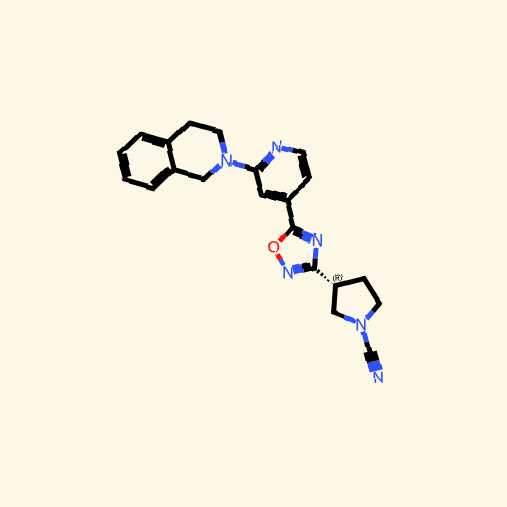 N#CN1CC[C@@H](c2noc(-c3ccnc(N4CCc5ccccc5C4)c3)n2)C1